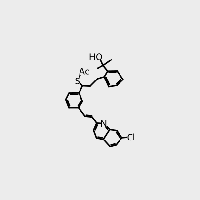 CC(=O)SC(CCc1ccccc1C(C)(C)O)c1cccc(/C=C/c2ccc3ccc(Cl)cc3n2)c1